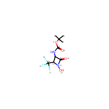 CC(C)(C)OC(=O)NC1C(=O)N(O)C1C(F)(F)F